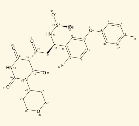 Cc1ccc(Oc2ccc(F)c([C@@H](CC(=O)[C@H]3C(=O)NC(=O)N(C4CCOCC4)C3=O)N[S@@+]([O-])C(C)(C)C)c2)cn1